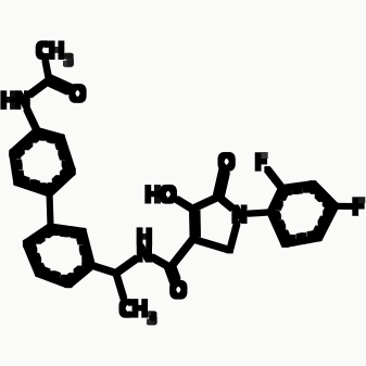 CC(=O)Nc1ccc(-c2cccc(C(C)NC(=O)C3=C(O)C(=O)N(c4ccc(F)cc4F)C3)c2)cc1